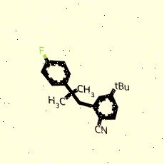 CC(C)(C)c1ccc(C#N)c(CC(C)(C)c2ccc(F)cc2)c1